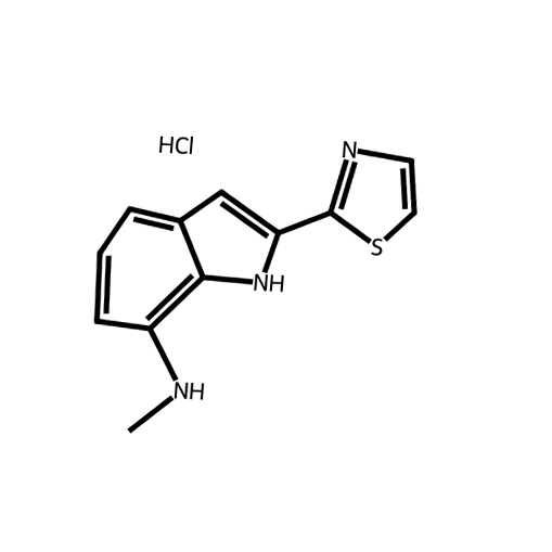 CNc1cccc2cc(-c3nccs3)[nH]c12.Cl